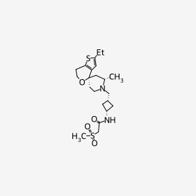 CCc1cc2c(s1)CCO[C@@]21CCN(C[C@H]2C[C@@H](NC(=O)CS(C)(=O)=O)C2)[C@@H](C)C1